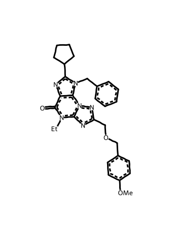 CCn1c(=O)c2nc(C3CCCC3)n(Cc3ccccc3)c2n2nc(COCc3ccc(OC)cc3)nc12